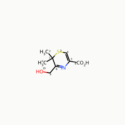 CC1(C)SC=C(C(=O)O)N=C1CO